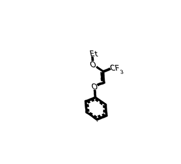 CCOC(=COc1cc[c]cc1)C(F)(F)F